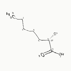 CCCCC[C@H](Cl)C(=O)O